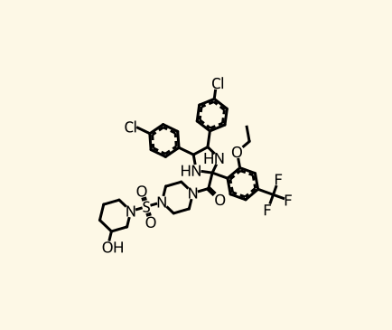 CCOc1cc(C(F)(F)F)ccc1C1(C(=O)N2CCN(S(=O)(=O)N3CCCC(O)C3)CC2)NC(c2ccc(Cl)cc2)C(c2ccc(Cl)cc2)N1